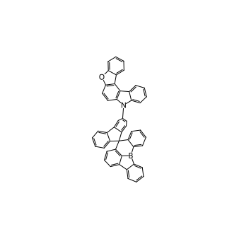 c1ccc2c(c1)B1c3ccccc3C3(c4ccccc4-c4cc(-n5c6ccccc6c6c7c(ccc65)oc5ccccc57)ccc43)c3cccc-2c31